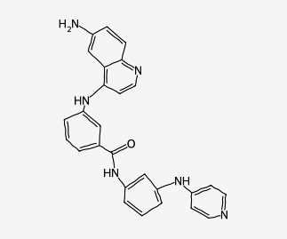 Nc1ccc2nccc(Nc3cccc(C(=O)Nc4cccc(Nc5ccncc5)c4)c3)c2c1